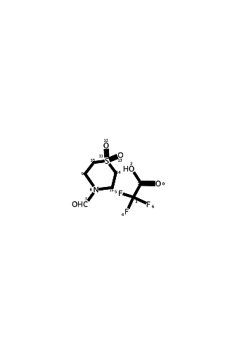 O=C(O)C(F)(F)F.O=CN1CCS(=O)(=O)CC1